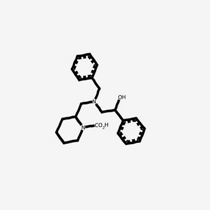 O=C(O)N1CCCCC1CN(Cc1ccccc1)CC(O)c1ccccc1